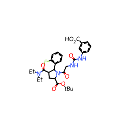 CCN(CC)C(=O)C1CC(C(=O)OC(C)(C)C)N(C(=O)CNC(=O)Nc2cccc(C(=O)O)c2)C1c1ccccc1F